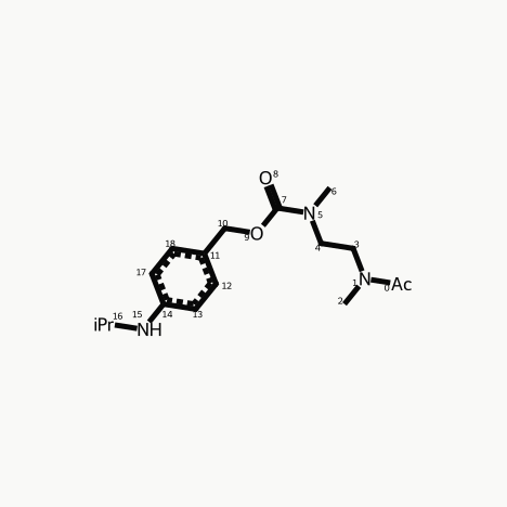 CC(=O)N(C)CCN(C)C(=O)OCc1ccc(NC(C)C)cc1